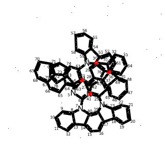 c1ccc(-c2nc(-n3c4ccccc4c4ccc5c6ccccc6n(-c6ccc7ccc8ccccc8c7c6)c5c43)nc(-n3c4ccccc4c4ccc5c6ccccc6n(-c6ccc7ccc8ccccc8c7c6)c5c43)n2)cc1